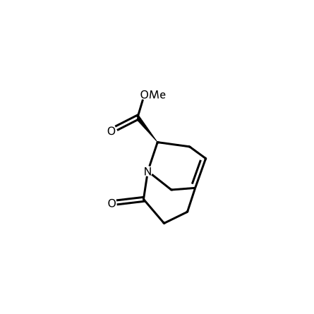 COC(=O)[C@H]1CC=C2CCC(=O)N1C2